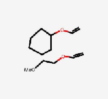 C=COC1CCCCC1.C=COCCOC